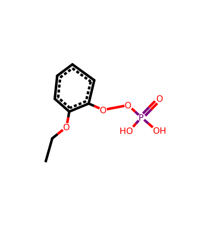 CCOc1ccccc1OOP(=O)(O)O